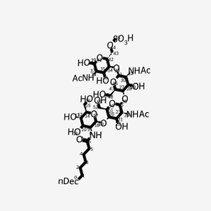 CCCCCCCCCCCCCCCC(=O)N[C@@H]1C(O)[C@H](O)[C@@H](CO)O[C@H]1O[C@H]1C(O)[C@@H](NC(C)=O)[C@H](O[C@H]2C(O)[C@@H](NC(C)=O)[C@H](O[C@H]3C(O)[C@@H](NC(C)=O)C(O)O[C@@H]3COS(=O)(=O)O)O[C@@H]2CO)O[C@@H]1CO